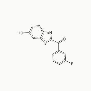 O=C(c1cccc(F)c1)c1nc2ccc(O)cc2s1